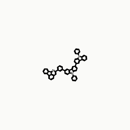 c1ccc(-n2c3ccccc3c3cc(-c4ccc5c(c4)c4cc(-c6cccc(-c7cc8cccc9c8c(n7)-c7ccccc7-9)c6)ccc4n5-c4ccccc4)ccc32)cc1